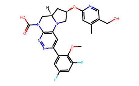 COc1c(F)cc(F)cc1-c1cc2c(nn1)N(C(=O)O)C[C@H]1C[C@@H](Oc3cc(C)c(CO)cn3)CN21